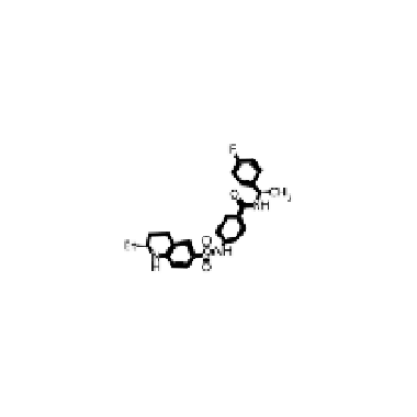 CC[C@H]1CCc2cc(S(=O)(=O)NC3CCC(C(=O)N[C@H](C)c4ccc(F)cc4)CC3)ccc2N1